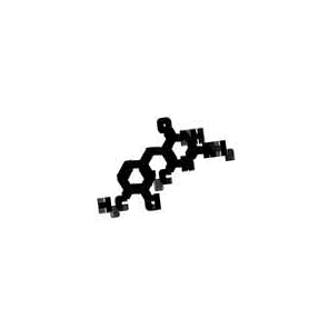 Cc1ccc(Cc2c(C(F)(F)F)nc(N)[nH]c2=O)cc1Cl